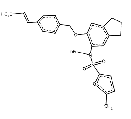 CCCN(c1cc2c(cc1OCc1ccc(C=CC(=O)O)cc1)CCC2)S(=O)(=O)c1ccc(C)o1